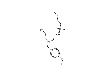 CCCC[Si](C)(C)OCCN(CCO)Cc1ccc(OC)cc1